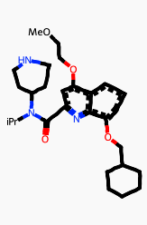 COCCOc1cc(C(=O)N(C(C)C)C2CCNCC2)nc2c(OCC3CCCCC3)cccc12